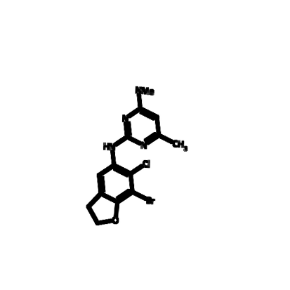 CNc1cc(C)nc(Nc2cc3c(c(Br)c2Cl)OCC3)n1